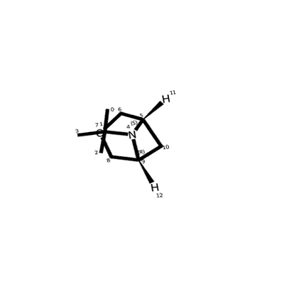 CC(C)(C)N1[C@@H]2COC[C@H]1C2